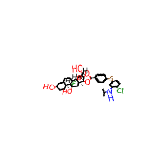 CC(C)Nc1cc(Sc2ccc([C@@H]3O[C@@H]4C[C@H]5[C@@H]6CCC7=CC(O)C=C[C@]7(C)[C@@]6(F)[C@@H](O)C[C@]5(C)[C@]4(C(=O)CO)O3)cc2)ccc1Cl